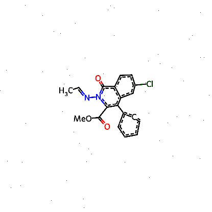 CC=Nn1c(C(=O)OC)c(-c2ccccc2)c2cc(Cl)ccc2c1=O